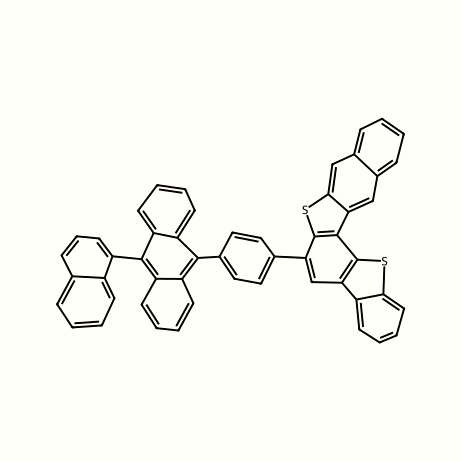 c1ccc2cc3c(cc2c1)sc1c(-c2ccc(-c4c5ccccc5c(-c5cccc6ccccc56)c5ccccc45)cc2)cc2c4ccccc4sc2c13